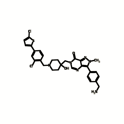 Cn1nc2c(=O)n(CC3(O)CCN(Cc4ccc(-c5ccc(Cl)s5)cc4Cl)CC3)cnc2c1-c1ccc(CN)cc1